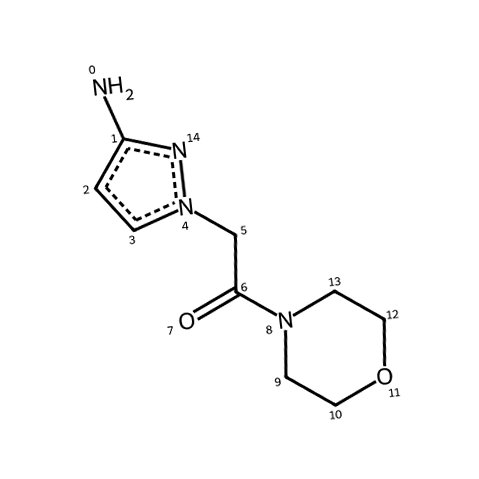 Nc1ccn(CC(=O)N2CCOCC2)n1